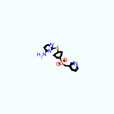 Nc1ccnc(Sc2ccc(S(=O)(=O)Cc3cccnc3)cc2)n1